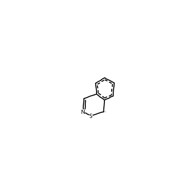 [CH]1SN=Cc2ccccc21